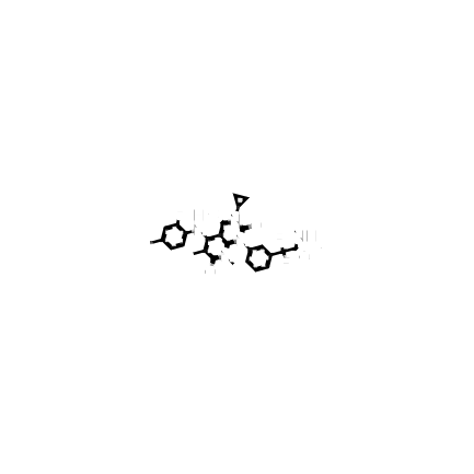 Cc1c(Nc2ccc(I)cc2F)c2c(=O)n(C3CC3)c(=O)n(-c3cccc(C(F)(F)C(N)=O)c3)c2n(C)c1=O